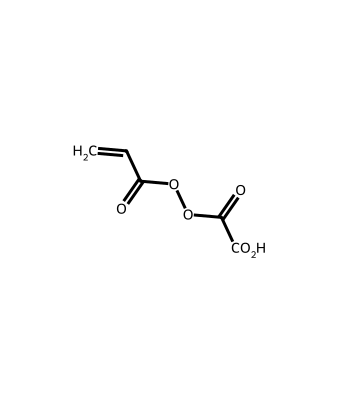 C=CC(=O)OOC(=O)C(=O)O